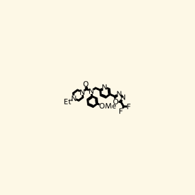 CCN1CCN(C(=O)N(Cc2ccc(-c3nnc(C(F)F)o3)cn2)c2cccc(OC)c2)CC1